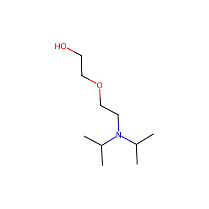 CC(C)N(CCOCCO)C(C)C